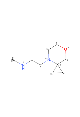 CC(C)NCCN1CCOCC12CC2